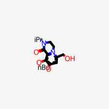 CCCCOc1c2n(c(CO)cc1=O)CCN(C(C)C)C2=O